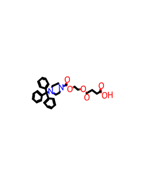 O=C(O)CCC(=O)OCCOC(=O)N1CCN(C(c2ccccc2)(c2ccccc2)c2ccccc2)CC1